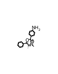 CN[C@H](C)[C@H](OC(=O)c1ccc(N)cc1)c1ccccc1